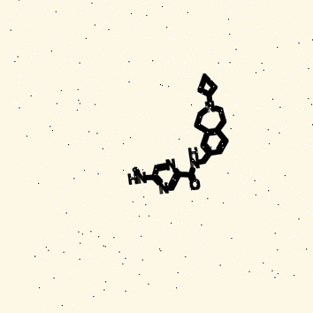 CNc1cnc(C(=O)NCc2ccc3c(c2)CCN(C2CCC2)CC3)cn1